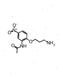 CC(=O)Nc1cc([N+](=O)[O-])ccc1OCCCN